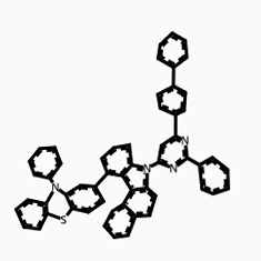 c1ccc(-c2ccc(-c3cc(-n4c5cccc(-c6ccc7c(c6)N(c6ccccc6)c6ccccc6S7)c5c5c6ccccc6ccc54)nc(-c4ccccc4)n3)cc2)cc1